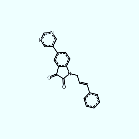 O=C1C(=O)N(C/C=C/c2ccccc2)c2ccc(-c3cncnc3)cc21